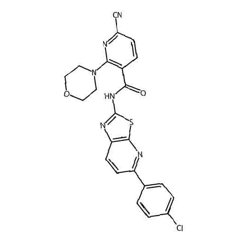 N#Cc1ccc(C(=O)Nc2nc3ccc(-c4ccc(Cl)cc4)nc3s2)c(N2CCOCC2)n1